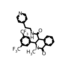 CN1C(=O)c2ccccc2C(C(=O)NCCc2ccncc2)C1c1cc(C(F)(F)F)cc(C(F)(F)F)c1